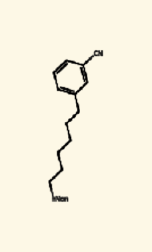 CCCCCCCCCCCCCCCc1cccc(C#N)c1